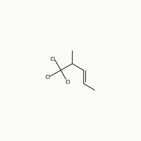 CC=CC(C)C(Cl)(Cl)Cl